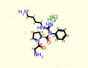 Cl.Cl.N=C(NCCCCN)N(C(=O)[C@@H]1CCCN1C(=O)CN)c1ccccc1